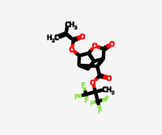 C=C(C)C(=O)OC1C2CC3C1OC(=O)C3C2C(=O)OC(C)(C(F)(F)F)C(F)(F)F